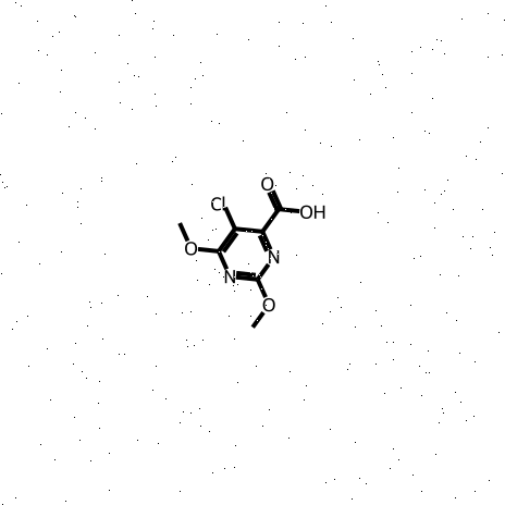 COc1nc(OC)c(Cl)c(C(=O)O)n1